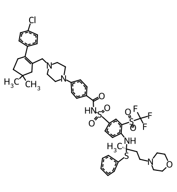 CC1(C)CCC(c2ccc(Cl)cc2)=C(CN2CCN(c3ccc(C(=O)NS(=O)(=O)c4ccc(N[C@@](C)(CCN5CCOCC5)Sc5ccccc5)c(S(=O)(=O)C(F)(F)F)c4)cc3)CC2)C1